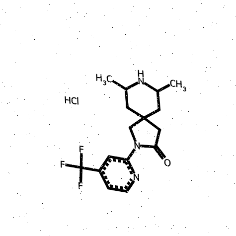 CC1CC2(CC(=O)N(c3cc(C(F)(F)F)ccn3)C2)CC(C)N1.Cl